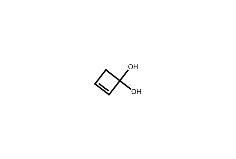 OC1(O)C=CC1